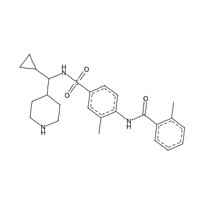 Cc1cc(S(=O)(=O)NC(C2CCNCC2)C2CC2)ccc1NC(=O)c1ccccc1C